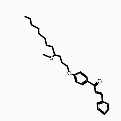 CCCCCCCCC(CCCOc1ccc(C(=O)C=Cc2ccccc2)cc1)SC